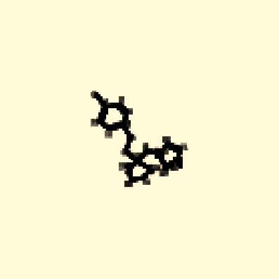 Cc1ccc(CCC2(Cn3ccnc3)SCCS2)cc1